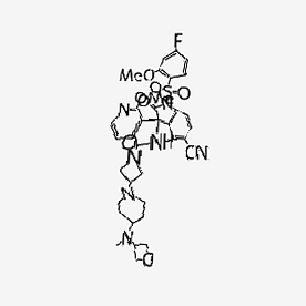 COc1cc(F)ccc1S(=O)(=O)N1C(=O)C(NC(=O)N2CC(N3CCC(N(C)C4COC4)CC3)C2)(c2cccnc2OC)c2cc(C#N)ccc21